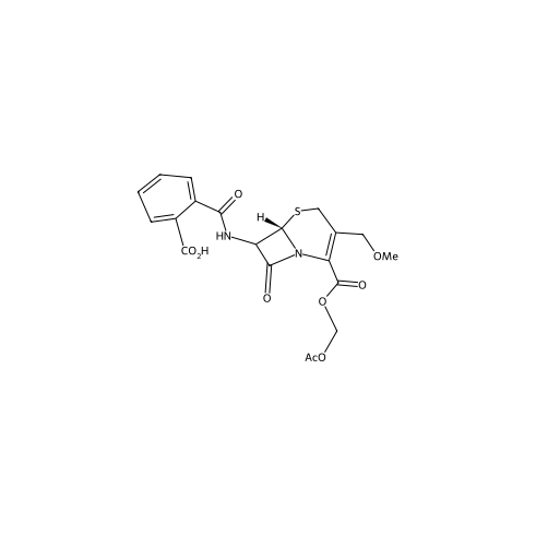 COCC1=C(C(=O)OCOC(C)=O)N2C(=O)C(NC(=O)c3ccccc3C(=O)O)[C@@H]2SC1